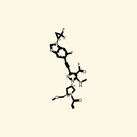 C=CC(=O)N1C[C@@H](n2nc(C#Cc3cc4ncn([C@H]5CC5(F)F)c4cc3F)c(C(=O)F)c2NC)C[C@@H]1COC